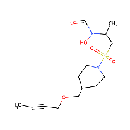 CC#CCOCC1CCN(S(=O)(=O)CC(C)N(O)C=O)CC1